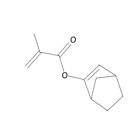 C=C(C)C(=O)OC1=CC2CCC1C2